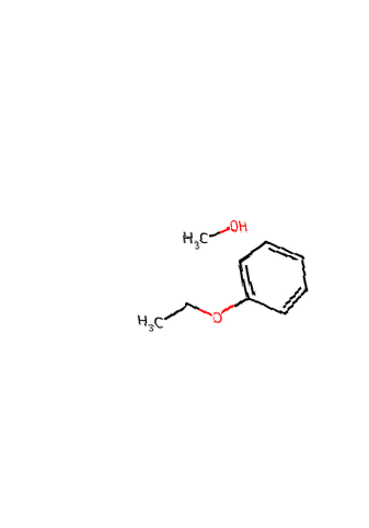 CCOc1ccccc1.CO